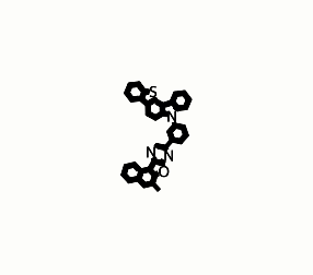 Cc1cc2ccccc2c2c1oc1nc(-c3cccc(-n4c5ccccc5c5c6sc7ccccc7c6ccc54)c3)cnc12